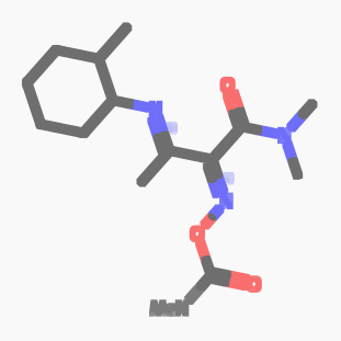 CNC(=O)O/N=C(C(=O)N(C)C)\C(C)=N\C1CCCCC1C